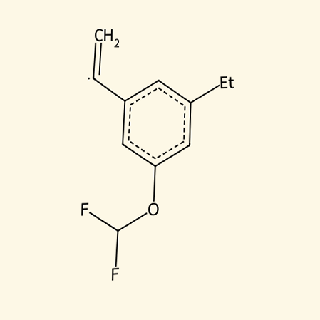 C=[C]c1cc(CC)cc(OC(F)F)c1